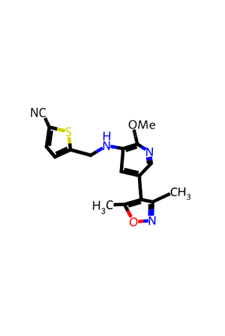 COc1ncc(-c2c(C)noc2C)cc1NCc1ccc(C#N)s1